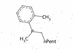 CCCCCCP(C)c1ccccc1C